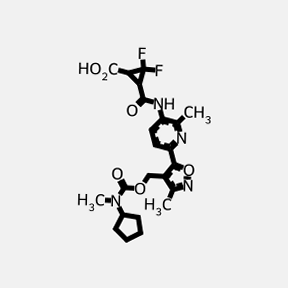 Cc1nc(-c2onc(C)c2COC(=O)N(C)C2CCCC2)ccc1NC(=O)C1C(C(=O)O)C1(F)F